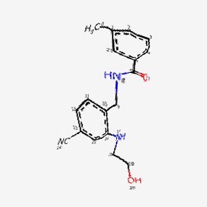 Cc1cccc(C(=O)NCc2ccc(C#N)cc2NCCO)c1